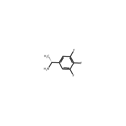 C[C@@H](N)c1cc(F)c(F)c(F)c1